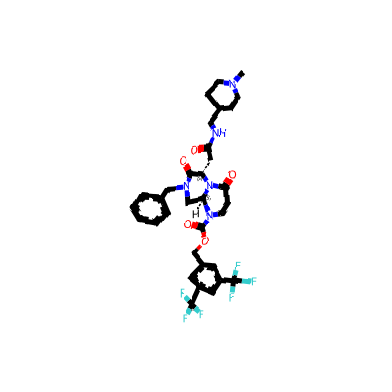 CN1CCC(CNC(=O)C[C@H]2C(=O)N(Cc3ccccc3)C[C@@H]3N(C(=O)OCc4cc(C(F)(F)F)cc(C(F)(F)F)c4)CCC(=O)N32)CC1